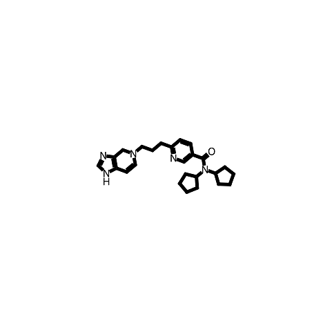 O=C(c1ccc(CCCN2C=Cc3[nH]cnc3C2)nc1)N(C1CCCC1)C1CCCC1